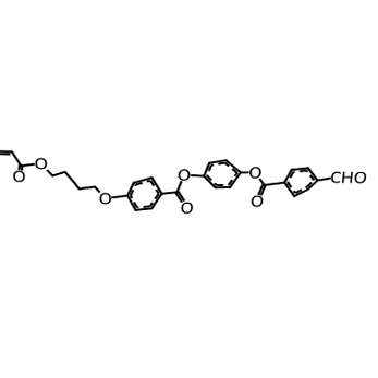 C=CC(=O)OCCCCOc1ccc(C(=O)Oc2ccc(OC(=O)c3ccc(C=O)cc3)cc2)cc1